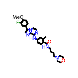 COc1ccc(-c2cnc3c(Nc4ccc(C(=O)NCCCCN5CCOCC5)c(C)c4)nccn23)cc1F